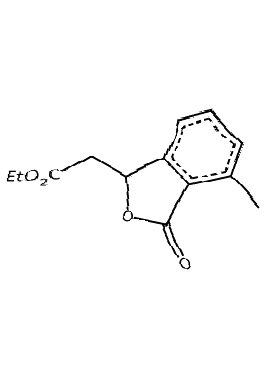 CCOC(=O)CC1OC(=O)c2c(C)cccc21